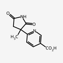 CC1(c2ccc(C(=O)O)cn2)CC(=O)NC1=O